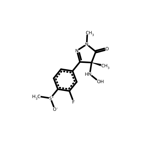 CN1N=C(c2ccc([S+](C)[O-])c(F)c2)[C@@](C)(NO)C1=O